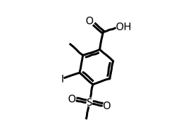 Cc1c(C(=O)O)ccc(S(C)(=O)=O)c1I